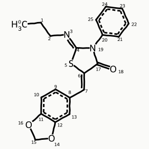 CCC/N=C1\S/C(=C\c2ccc3c(c2)OCO3)C(=O)N1c1ccccc1